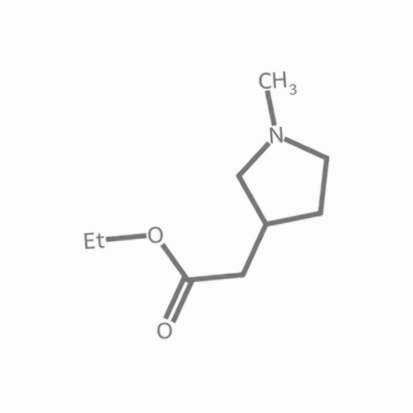 CCOC(=O)CC1CCN(C)C1